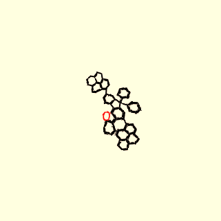 C1=Cc2ccc3c(-c4ccc5c(c4)C(c4ccccc4)(c4ccccc4)c4cc(-c6ccc7ccc8cccc9ccc6c7c89)c6c(oc7ccccc76)c4-5)ccc4c3c2C(=CC4)C1